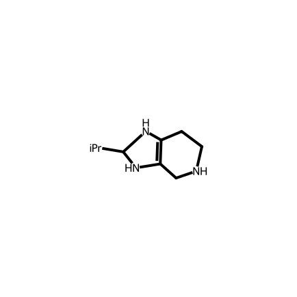 CC(C)C1NC2=C(CNCC2)N1